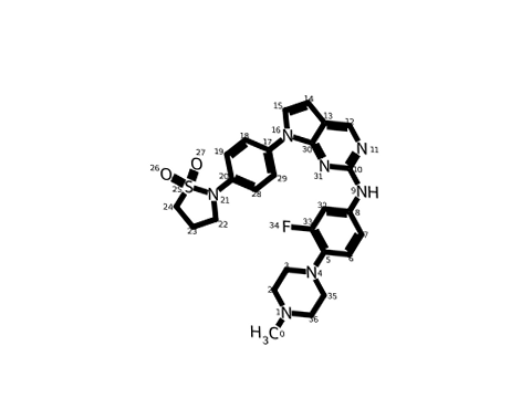 CN1CCN(c2ccc(Nc3ncc4ccn(-c5ccc(N6CCCS6(=O)=O)cc5)c4n3)cc2F)CC1